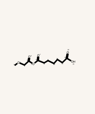 COCC(=O)OC(=O)CCCCCC(=O)O